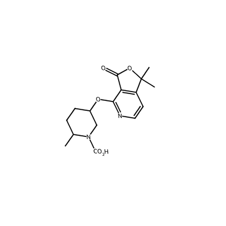 CC1CCC(Oc2nccc3c2C(=O)OC3(C)C)CN1C(=O)O